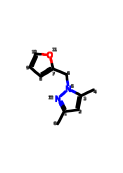 Cc1cc(C)n(Cc2ccco2)n1